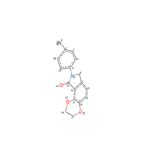 CC(C)c1ccc(N2Cc3ccc4c(c3C2=O)OCCO4)cc1